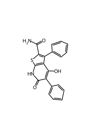 NC(=O)c1sc2[nH]c(=O)c(-c3ccccc3)c(O)c2c1-c1ccccc1